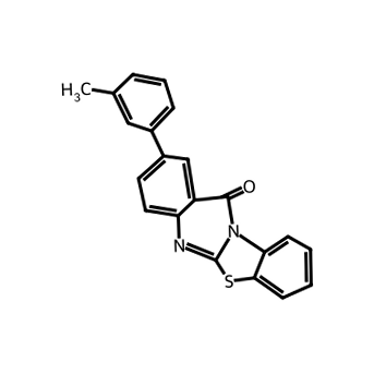 Cc1cccc(-c2ccc3nc4sc5ccccc5n4c(=O)c3c2)c1